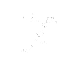 CC1CN(C(=O)O)CCN1c1ccc(-c2cc3c(Cl)ncnc3n2COCC[Si](C)(C)C)cn1